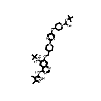 Cc1n[nH]c(Nc2ncnc3cc(OCC4CCN(c5ncc(OC6CCN(C(O)OC(C)(C)C)CC6)cn5)CC4)c(S(=O)(=O)C(C)(C)C)cc23)c1C